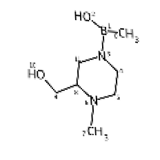 CB(O)N1CCN(C)C(CO)C1